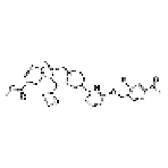 COC(=O)c1ccc2nc(CN3CCC(c4cccc(OCc5ccc(C(C)=O)cc5F)n4)CC3)n(C[C@@H]3CCO3)c2c1